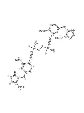 COc1ncc(Oc2[nH]nnc2C(=O)O)cc1C#CC(C)(O)CCC(C)(O)C#Cc1ccc(Oc2[nH]nnc2C(=O)O)nc1OC